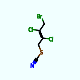 N#CSCC(Cl)=C(Cl)CBr